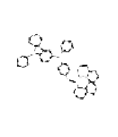 C1=Cc2ccc3ccc4cccc(C=Cc5ccc(N(c6ccccc6)c6ccc7c(c6)c6ccccc6n7-c6ccccc6)cc5)c4c3c2CC1